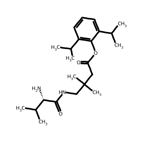 CC(C)c1cccc(C(C)C)c1OC(=O)CC(C)(C)CNC(=O)[C@@H](N)C(C)C